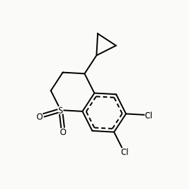 O=S1(=O)CCC(C2CC2)c2cc(Cl)c(Cl)cc21